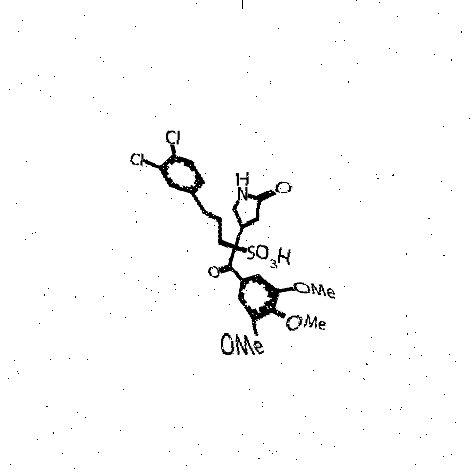 COc1cc(C(=O)C(CCCc2ccc(Cl)c(Cl)c2)(C2CNC(=O)C2)S(=O)(=O)O)cc(OC)c1OC